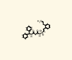 C=CCc1ccccc1/C=C/S(=O)(=O)NC(=O)CC(=O)NC(c1ccccc1)c1ccccc1